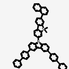 C[Si]1(C)c2cc(-c3cccc4ccccc34)ccc2-c2ccc(-n3c4ccc(-c5ccc(-c6ccccc6)cc5)cc4c4cc(-c5ccc(-c6ccccc6)cc5)ccc43)cc21